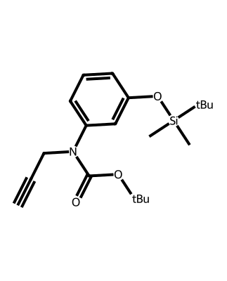 C#CCN(C(=O)OC(C)(C)C)c1cccc(O[Si](C)(C)C(C)(C)C)c1